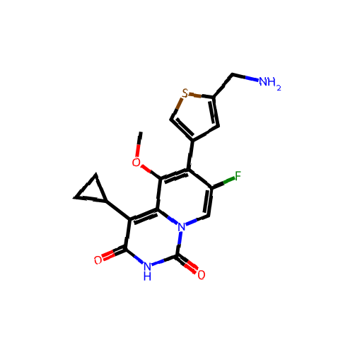 COc1c(-c2csc(CN)c2)c(F)cn2c(=O)[nH]c(=O)c(C3CC3)c12